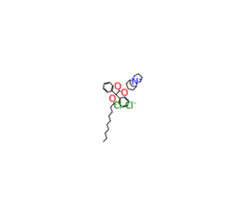 CCCCCCCCCC(Cl)OC(C(=O)OC1CC2CCC(C1)[N+]21CCCC1)(c1ccccc1)c1ccccc1.[Cl-]